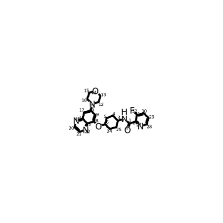 O=C(NC1CCC(Oc2cc(N3CCOCC3)cc3nccnc23)CC1)c1ncccc1F